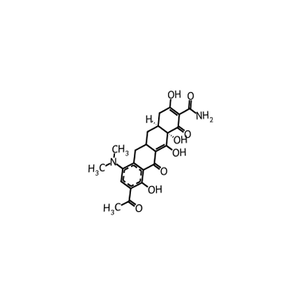 CC(=O)c1cc(N(C)C)c2c(c1O)C(=O)C1=C(O)[C@]3(O)C(=O)C(C(N)=O)=C(O)C[C@@H]3CC1C2